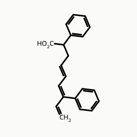 C=CC(=CC=CCC(C(=O)O)c1ccccc1)c1ccccc1